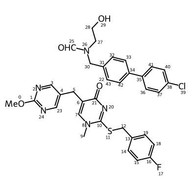 COc1ncc(Cc2cn(C)c(SCc3ccc(F)cc3)nc2=O)cn1.O=CN(CCO)Cc1ccc(-c2ccc(Cl)cc2)cc1